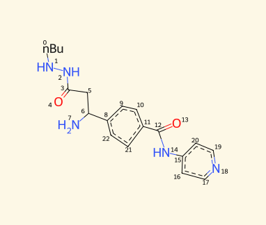 CCCCNNC(=O)CC(N)c1ccc(C(=O)Nc2ccncc2)cc1